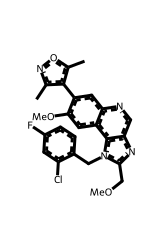 COCc1nc2cnc3cc(-c4c(C)noc4C)c(OC)cc3c2n1Cc1ccc(F)cc1Cl